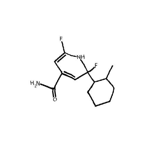 CC1CCCCC1C1(F)C=C(C(N)=O)C=C(F)N1